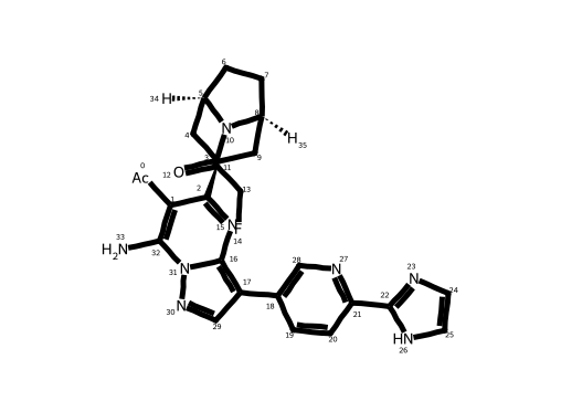 CC(=O)c1c([C@H]2C[C@H]3CC[C@@H](C2)N3C(=O)CF)nc2c(-c3ccc(-c4ncc[nH]4)nc3)cnn2c1N